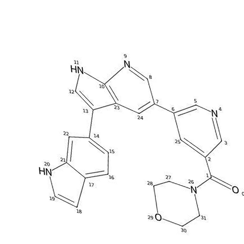 O=C(c1cncc(-c2cnc3[nH]cc(-c4ccc5cc[nH]c5c4)c3c2)c1)N1CCOCC1